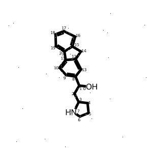 OC(CC1CCCN1)c1ccc2c(c1)Cc1ccccc1-2